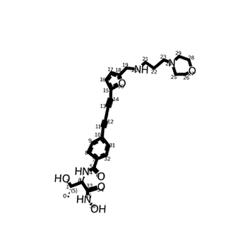 C[C@H](O)[C@H](NC(=O)c1ccc(C#CC#Cc2ccc(CNCCCN3CCOCC3)o2)cc1)C(=O)NO